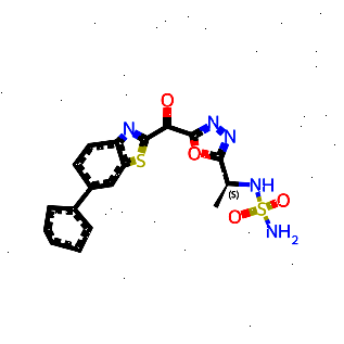 C[C@H](NS(N)(=O)=O)c1nnc(C(=O)c2nc3ccc(-c4ccccc4)cc3s2)o1